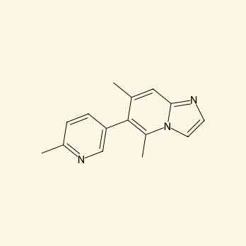 Cc1ccc(-c2c(C)cc3nccn3c2C)cn1